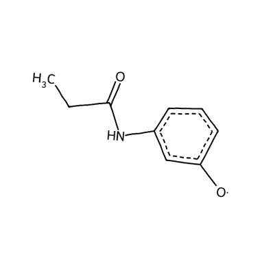 CCC(=O)Nc1cccc([O])c1